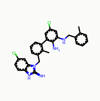 Cc1ccccc1CNc1cc(Cl)cc(-c2cccc(Cn3c(=N)[nH]c4ccc(Cl)cc43)c2C)c1N